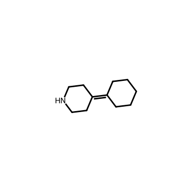 C1CCC(=C2CCNCC2)CC1